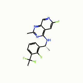 Cc1nc(N[C@H](C)c2cccc(C(C)(F)F)c2F)c2cc(F)ncc2n1